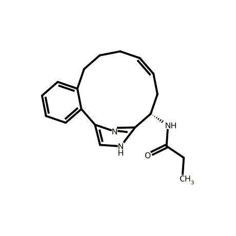 CCC(=O)N[C@H]1CC=CCCCc2ccccc2-c2c[nH]c1n2